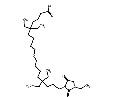 CCN1CC(=O)N(CCCC(CC)(CC)CCCCOCCCCC(CC)(CC)CCCC(=O)O)C1=O